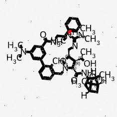 Cc1c(CN2O[C@@H](CN=C(N(C)C)N(C)C)[C@@H]([C@H](C)O)[C@H]2C(=O)NC2C[C@H]3C[C@@H]([C@@H]2C)C3(C)C)cccc1-c1cc(C(=O)NCCc2ccccc2)cc(N(C)C)c1